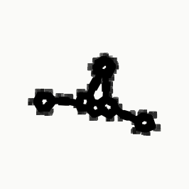 C(#Cc1cc(C#Cc2ccccc2)c2c(c1)Cc1cc(C#Cc3ccccc3)cc(C#Cc3ccccc3)c1-2)c1ccccc1